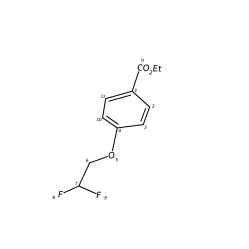 CCOC(=O)c1ccc(OCC(F)F)cc1